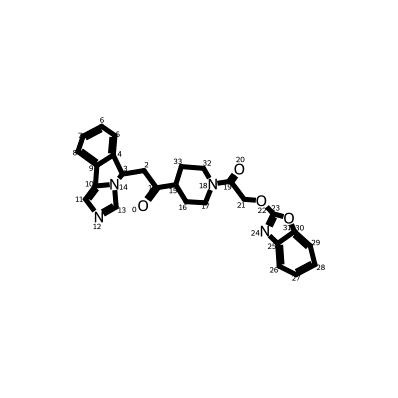 O=C(CC1c2ccccc2-c2cncn21)C1CCN(C(=O)COc2nc3ccccc3o2)CC1